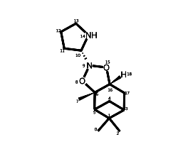 CC1(C)C2CC1[C@]1(C)ON([C@@H]3CCCN3)O[C@@H]1C2